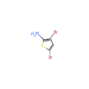 Nc1sc(Br)cc1Br